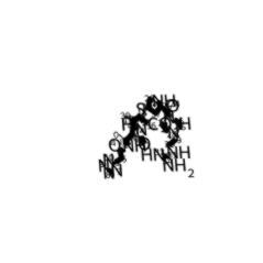 C[C@@H](NC(=O)CC1N=NN=N1)[C@H]1C(=O)N2C(C(=O)O)=C(S[C@@H]3CNC(C(=O)N4CCN(CCNC(=N)N)CC4)C3)[C@H](C)[C@H]12